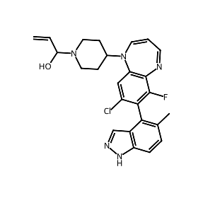 C=CC(O)N1CCC(N2C=CC=Nc3c2cc(Cl)c(-c2c(C)ccc4[nH]ncc24)c3F)CC1